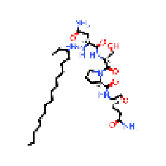 CCCCCCCCCCCCCCC(CC)NN[C@@H](CC(N)=O)C(=O)N[C@@H](CO)C(=O)N1CCC[C@H]1C(=O)N[C@H](C=O)CCC(N)=O